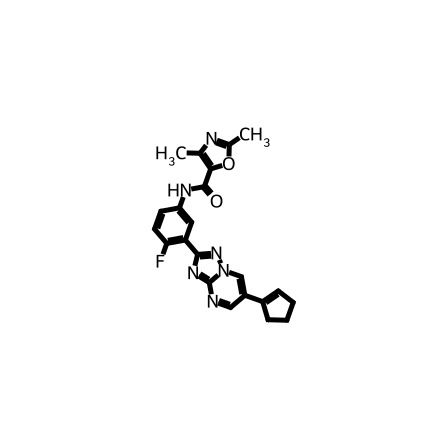 Cc1nc(C)c(C(=O)Nc2ccc(F)c(-c3nc4ncc(C5=CCCC5)cn4n3)c2)o1